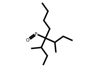 CCCCC(P=O)(C(C)CC)C(C)CC